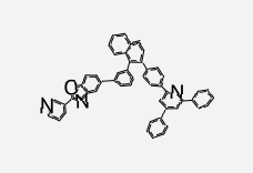 c1ccc(-c2cc(-c3ccccc3)nc(-c3ccc(-c4ccc5ccccc5c4-c4cccc(-c5ccc6oc(-c7cccnc7)nc6c5)c4)cc3)c2)cc1